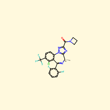 C[C@@H]1N=C(c2c(F)cccc2F)c2c(ccc(C(F)(F)F)c2Cl)-n2nc(C(=O)N3CCC3)nc21